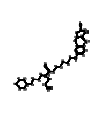 O=C1CN2Cc3cc(OCCCCCCC(=O)N(CCO)CCCCC4CCCCC4)ccc3N=C2N1